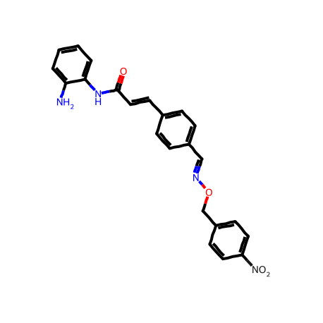 Nc1ccccc1NC(=O)C=Cc1ccc(C=NOCc2ccc([N+](=O)[O-])cc2)cc1